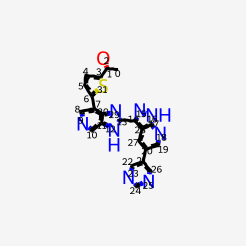 CC(=O)c1ccc(-c2cncc3[nH]c(-c4n[nH]c5ncc(-c6cncnc6)cc45)nc23)s1